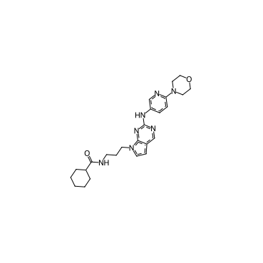 O=C(NCCCn1ccc2cnc(Nc3ccc(N4CCOCC4)nc3)nc21)C1CCCCC1